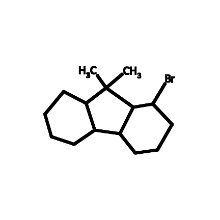 CC1(C)C2CCCCC2C2CCCC(Br)C21